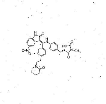 CN1C(=O)N/C(=C\c2ccc(N/C(=C3\C(=O)Nc4ccc([N+](=O)[O-])cc43)c3ccc(CCN4CCCCC4=O)cc3)cc2)C1=O